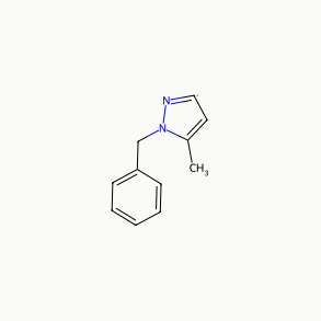 Cc1c[c]nn1Cc1ccccc1